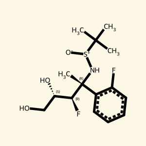 CC(C)(C)[S+]([O-])N[C@](C)(c1ccccc1F)[C@@H](F)[C@@H](O)CO